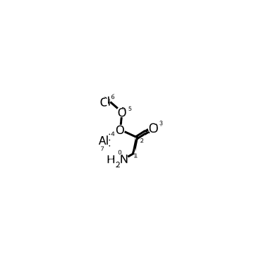 NCC(=O)OOCl.[Al]